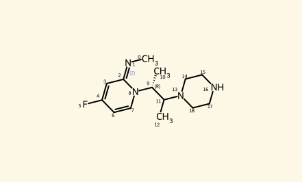 C/N=c1/cc(F)ccn1[C@H](C)C(C)N1CCNCC1